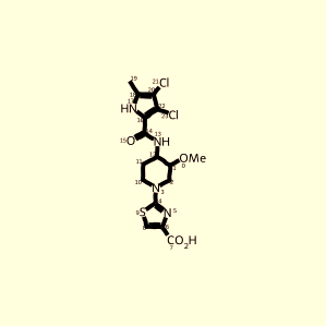 COC1CN(c2nc(C(=O)O)cs2)CCC1NC(=O)c1[nH]c(C)c(Cl)c1Cl